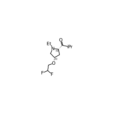 CCN1C[C@@H](OCC(F)F)C[C@H]1C(=O)C(C)C